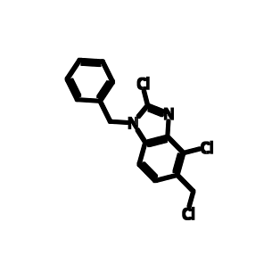 ClCc1ccc2c(nc(Cl)n2Cc2ccccc2)c1Cl